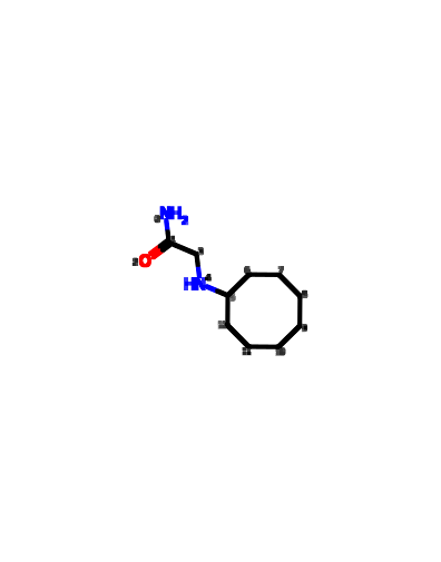 NC(=O)CNC1CCCCCCC1